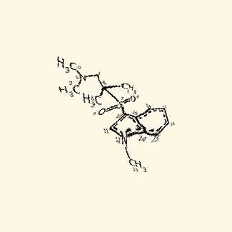 CN(C)CC(C)(C)S(=O)(=O)c1cn(C)c2ccccc12